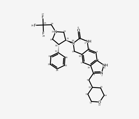 O=C1Nc2cc3[nH]nc(CC4CCOCC4)c3cc2CN1[C@@H]1CN(CC(F)(F)F)C[C@H]1c1ccccc1